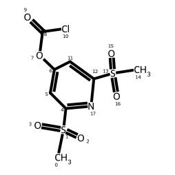 CS(=O)(=O)c1cc(OC(=O)Cl)cc(S(C)(=O)=O)n1